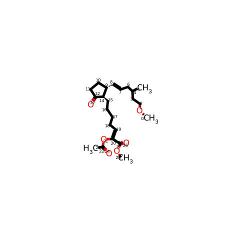 COCCC(C)C/C=C/[C@H]1CCC(=O)[C@@H]1CCCC/C=C(\OC(C)=O)C(=O)OC